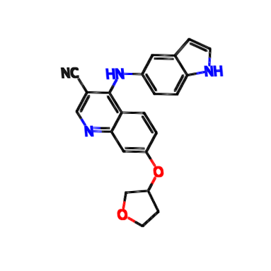 N#Cc1cnc2cc(OC3CCOC3)ccc2c1Nc1ccc2[nH]ccc2c1